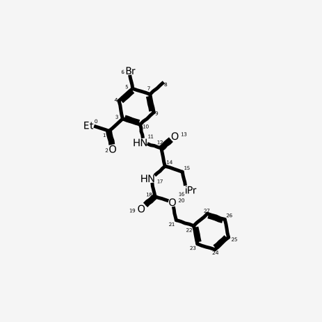 CCC(=O)c1cc(Br)c(C)cc1NC(=O)C(CC(C)C)NC(=O)OCc1ccccc1